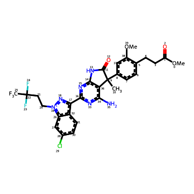 COC(=O)CCc1ccc(C2(C)C(=O)Nc3nc(-c4nn(CCC(F)(F)C(F)(F)F)c5cc(Cl)ccc45)nc(N)c32)cc1OC